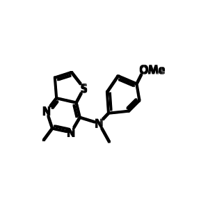 COc1ccc(N(C)c2nc(C)nc3ccsc23)cc1